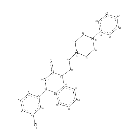 S=C1NC(c2cccc(Cl)c2)c2ccccc2C1CCN1CCN(c2ccccc2)CC1